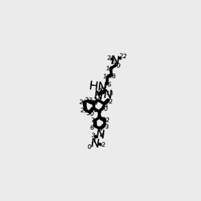 CN(C)C=Nc1ccc(C2Cc3cnc(NCCCCCN(C)C)nc3-c3ccccc32)cc1